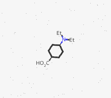 CCN(CC)[C@H]1CC[C@@H](C(=O)O)CC1